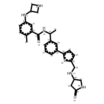 Cc1ccc(NC2CNC2)cc1C(=O)NC(C)c1cccc(-c2ccc(CNC3CNC(=O)C3)s2)c1